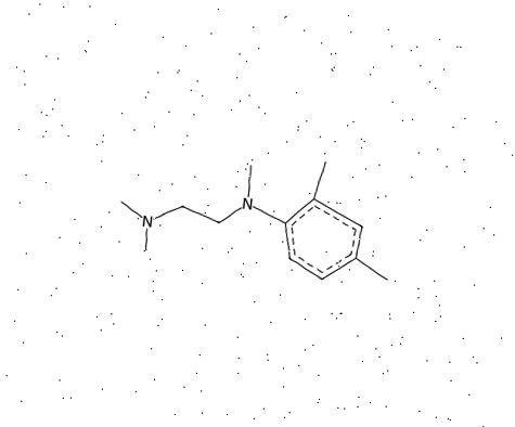 Cc1ccc(N(C)CCN(C)C)c(C)c1